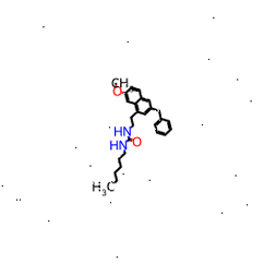 CCCCCCNC(=O)NCCc1cc(Cc2ccccc2)cc2ccc(OC)cc12